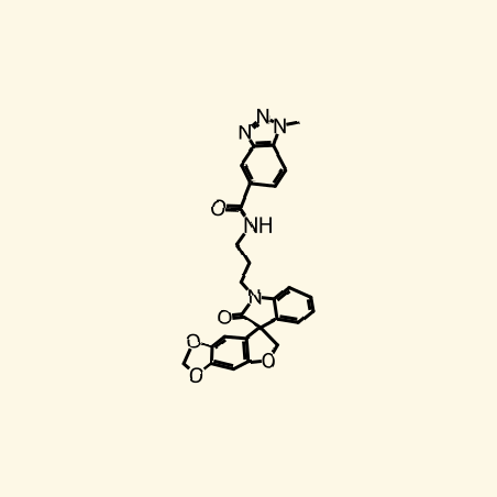 Cn1nnc2cc(C(=O)NCCCN3C(=O)C4(COc5cc6c(cc54)OCO6)c4ccccc43)ccc21